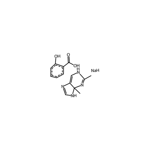 CC1=NC2(C)NC=NC2=CN1.O=C(O)c1ccccc1O.[NaH]